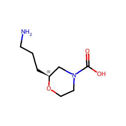 NCCC[C@H]1CN(C(=O)O)CCO1